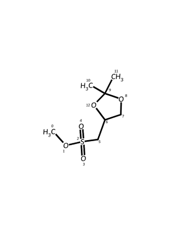 COS(=O)(=O)CC1COC(C)(C)O1